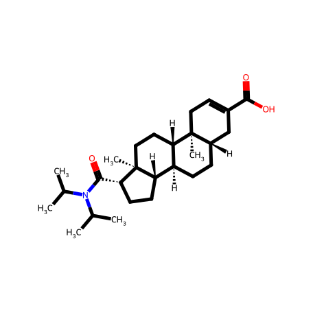 CC(C)N(C(=O)[C@H]1CC[C@H]2[C@@H]3CC[C@H]4CC(C(=O)O)=CC[C@]4(C)[C@H]3CC[C@]12C)C(C)C